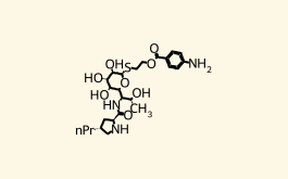 CCC[C@H]1CN[C@H](C(=O)N[C@@H]([C@H]2O[C@H](SCCOC(=O)c3ccc(N)cc3)[C@H](O)[C@@H](O)[C@H]2O)[C@@H](C)O)C1